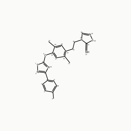 Cc1ccc(-c2nsc(Oc3cc(C)c(CCn4cnsc4=N)cc3C)n2)cc1